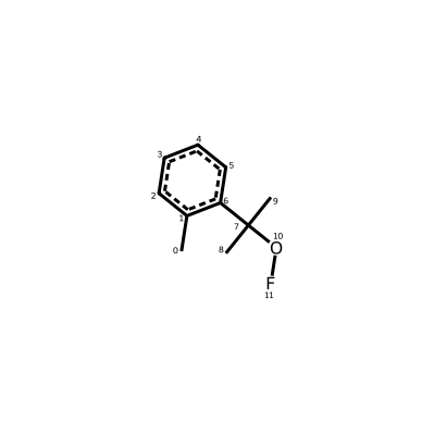 Cc1ccccc1C(C)(C)OF